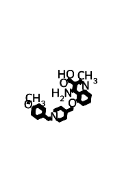 COc1ccc(CN2CCC(COc3cccc4nc(C)c(C(=O)O)c(N)c34)CC2)cc1